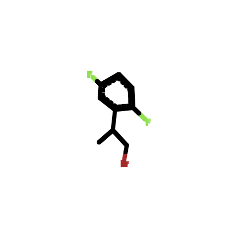 C[C](CBr)c1cc(F)ccc1F